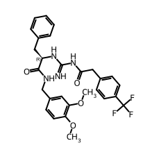 COc1ccc(CNC(=O)[C@@H](Cc2ccccc2)NC(=N)NC(=O)Cc2ccc(C(F)(F)F)cc2)cc1OC